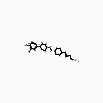 CCCC=C[C@H]1CC[C@H](CC[C@H]2CC[C@H](c3ccc(F)c(F)c3)CC2)CC1